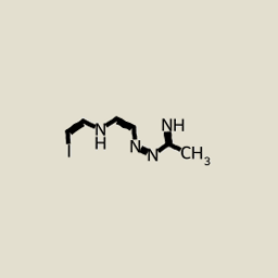 CC(=N)/N=N\C=C/N/C=C\I